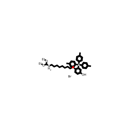 CCOC(OCC)[SiH2]CCCCCCCCOc1ccc(O)cc1[P+](c1ccc(C)cc1)(c1ccc(C)cc1)c1ccc(C)cc1.[Br-]